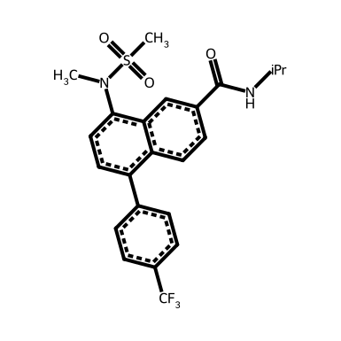 CC(C)NC(=O)c1ccc2c(-c3ccc(C(F)(F)F)cc3)ccc(N(C)S(C)(=O)=O)c2c1